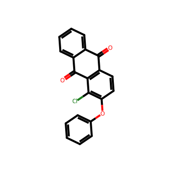 O=C1c2ccccc2C(=O)c2c1ccc(Oc1ccccc1)c2Cl